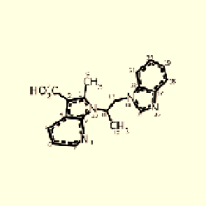 Cc1c(C(=O)O)c2cccnc2n1C(C)Cn1cnc2ccccc21